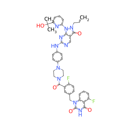 C=CCn1c(=O)c2cnc(Nc3ccc(N4CCN(C(=O)c5cc(Cn6c(=O)[nH]c(=O)c7c(F)cccc76)ccc5F)CC4)cc3)nc2n1-c1cccc(C(C)(C)O)n1